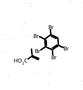 Brc1cc(Br)c(Br)c(Br)c1Br.C=C(C)C(=O)O